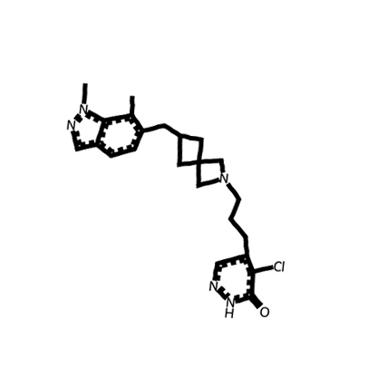 Cc1c(CC2CC3(C2)CN(CCCc2cn[nH]c(=O)c2Cl)C3)ccc2cnn(C)c12